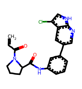 C=CC(=O)N1CCCC1C(=O)Nc1cccc(-c2cnc3[nH]cc(Cl)c3c2)c1